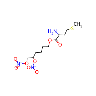 CSCCC(N)C(=O)OCCCCC(CO[N+](=O)[O-])O[N+](=O)[O-]